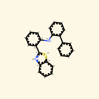 c1ccc(-c2ccccc2Nc2ccccc2-c2nc3ccccc3s2)cc1